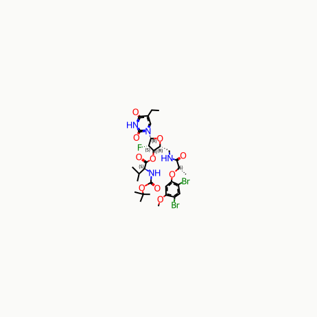 CCc1cn([C@@H]2O[C@H](CNC(=O)[C@H](C)Oc3cc(OC)c(Br)cc3Br)[C@@H](OC(=O)[C@@H](NC(=O)OC(C)(C)C)C(C)C)[C@@H]2F)c(=O)[nH]c1=O